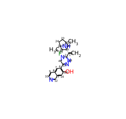 C=C(c1ncc(-c2cc3ccncc3cc2O)nn1)[C@H]1C[C@]2(C)CC[C@@](C)(N2)[C@H]1F